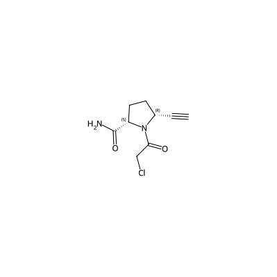 C#C[C@H]1CC[C@@H](C(N)=O)N1C(=O)CCl